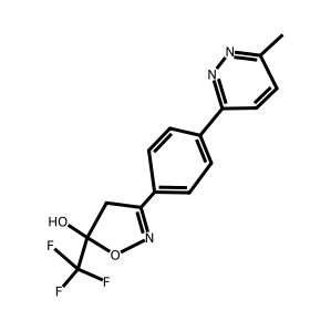 Cc1ccc(-c2ccc(C3=NOC(O)(C(F)(F)F)C3)cc2)nn1